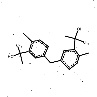 Cc1ccc(Cc2ccc(C)c(C(C)(O)C(F)(F)F)c2)cc1C(C)(O)C(F)(F)F